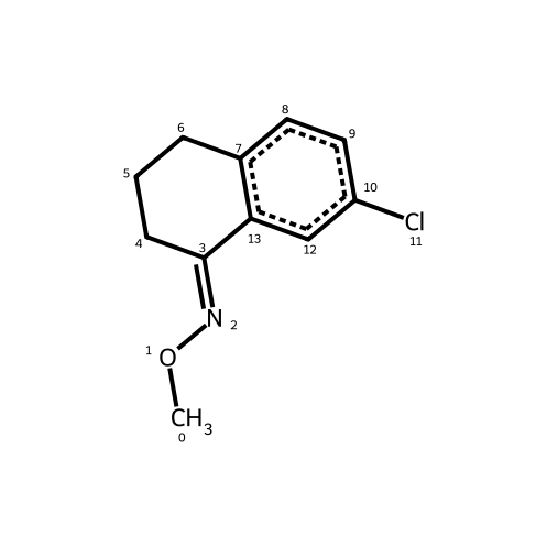 CON=C1CCCc2ccc(Cl)cc21